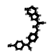 CC(C)N1CCC([S+]([O-])c2ccc(CNC(=O)N3C=C4C=CNC=C4C3)cc2)CC1